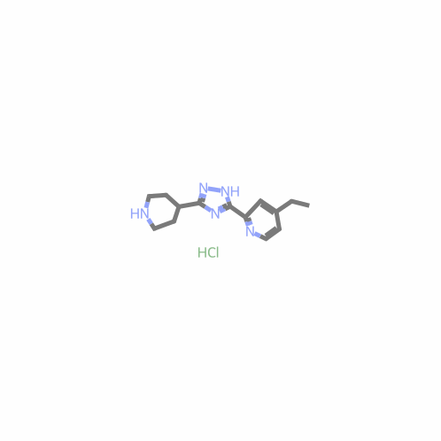 CCc1ccnc(-c2nc(C3CCNCC3)n[nH]2)c1.Cl